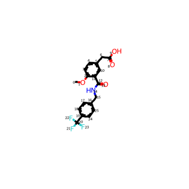 COc1ccc(CC(=O)O)cc1C(=O)NCc1ccc(C(F)(F)F)cc1